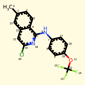 Cc1ccc2c(Nc3ccc(OC(F)(F)F)cc3)nc(Cl)cc2c1